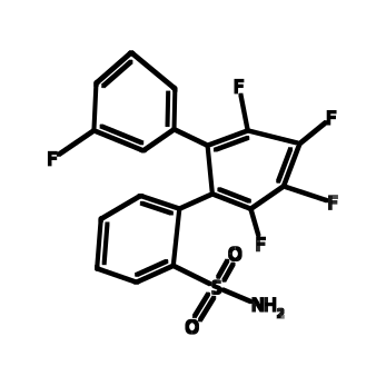 NS(=O)(=O)c1ccccc1-c1c(F)c(F)c(F)c(F)c1-c1cccc(F)c1